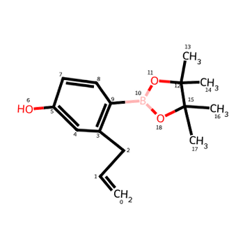 C=CCc1cc(O)ccc1B1OC(C)(C)C(C)(C)O1